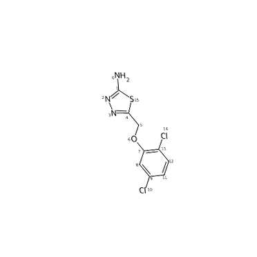 Nc1nnc(COc2cc(Cl)ccc2Cl)s1